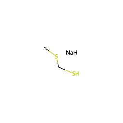 CSCS.[NaH]